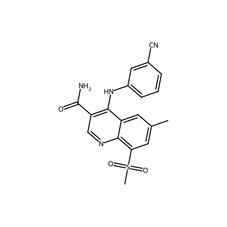 Cc1cc(S(C)(=O)=O)c2ncc(C(N)=O)c(Nc3cccc(C#N)c3)c2c1